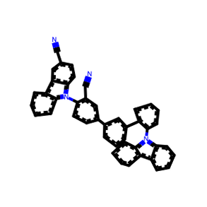 N#Cc1ccc2c(c1)c1ccccc1n2-c1ccc(-c2cccc(-c3ccccc3-n3c4ccccc4c4ccccc43)c2)cc1C#N